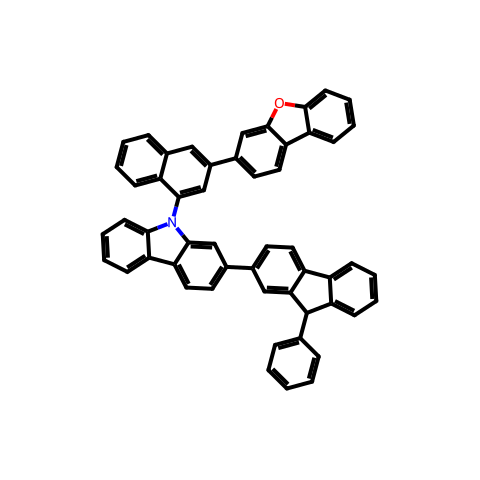 c1ccc(C2c3ccccc3-c3ccc(-c4ccc5c6ccccc6n(-c6cc(-c7ccc8c(c7)oc7ccccc78)cc7ccccc67)c5c4)cc32)cc1